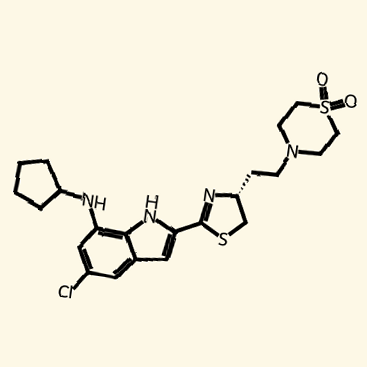 O=S1(=O)CCN(CC[C@@H]2CSC(c3cc4cc(Cl)cc(NC5CCCC5)c4[nH]3)=N2)CC1